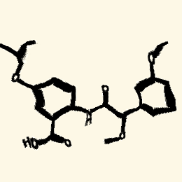 COc1cccc(C(OC)C(=O)Nc2ccc(OC(C)C)cc2C(=O)O)c1